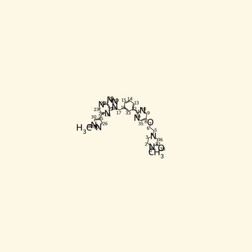 CN1CCN(CCOc2cnc(-c3cccc(Cn4nnc5ncc(-c6cnn(C)c6)nc54)c3)nc2)CC1=O